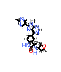 CCn1c(-c2cnc(C)nc2)nc2c(-c3ccc4c(c3)C(C)(N[C@@H]3CCOC3)C(=O)N4)ncnc21